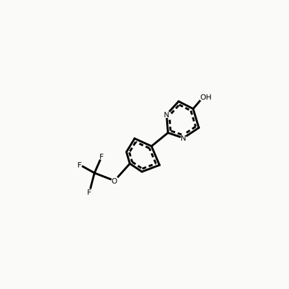 Oc1cnc(-c2ccc(OC(F)(F)F)cc2)nc1